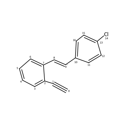 C#Cc1ccccc1C=[C]c1ccc(Cl)cc1